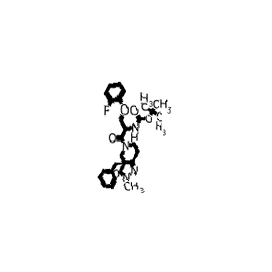 CN1N=C2CCN(C(=O)C(COc3ccccc3F)NC(=O)OC(C)(C)C)C[C@@]2(Cc2ccccc2)C1=O